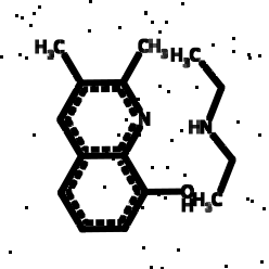 CCNCC.Cc1cc2cccc(O)c2nc1C